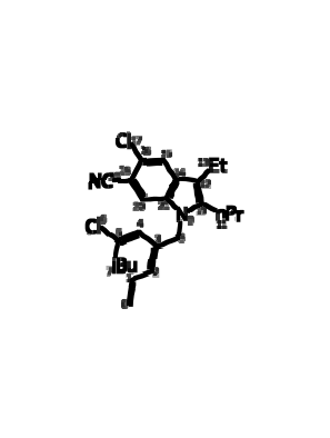 C=C/C=C(\C=C(\Cl)C(C)CC)Cn1c(CCC)c(CC)c2cc(Cl)c(C#N)cc21